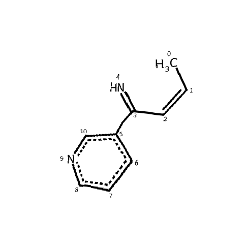 C/C=C\C(=N)c1cccnc1